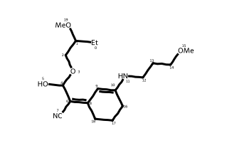 CCC(COC(O)/C(C#N)=C1\C=C(NCCCOC)CCC1)OC